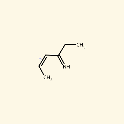 C/C=C\C(=N)CC